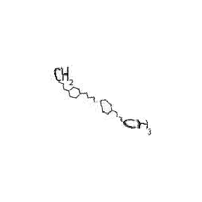 C=CCCC1CCC(CCCC[C@H]2CC[C@H](CC/C=C/C)CC2)CC1